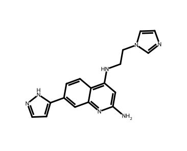 Nc1cc(NCCn2ccnc2)c2ccc(-c3ccn[nH]3)cc2n1